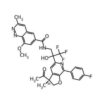 COc1cc(C(=O)NCC(O)(c2cc3c(c(-c4ccc(F)cc4)n2)OC[C@]3(C)C(C)=O)C(F)(F)F)cc2cc(C)nnc12